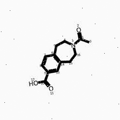 CC(=O)N1CCc2ccc(C(=O)O)cc2CC1